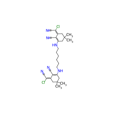 CC1(C)CC(NCCCCCCNC2=C(C#N)/C(=C(/Cl)C#N)CC(C)(C)C2)=C(C#N)/C(=C(/Cl)C#N)C1